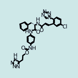 O=C(/C=C/c1cc(Cl)ccc1-n1cnnn1)N[C@@H](Cc1ccccc1)C(=O)Nc1ccc(NC(=O)OCCc2nnn[nH]2)cc1